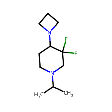 CC(C)N1CCC(N2CCC2)C(F)(F)C1